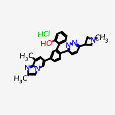 Cc1cn2cc(-c3ccc(-c4ccc(C5CN(C)C5)nn4)c(-c4ccccc4O)c3)cc(C)c2n1.Cl